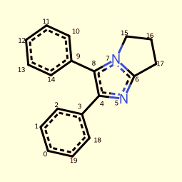 c1ccc(-c2nc3n(c2-c2ccccc2)CCC3)cc1